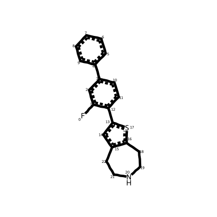 Fc1cc(-c2ccccc2)ccc1-c1cc2c(s1)CCNCC2